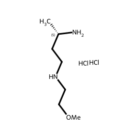 COCCNCC[C@H](C)N.Cl.Cl